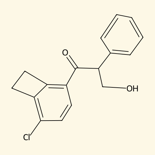 O=C(c1ccc(Cl)c2c1CC2)C(CO)c1ccccc1